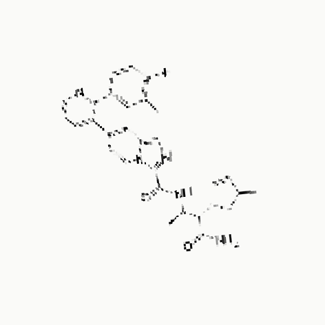 Cc1cc(-c2ncccc2-c2ccn3c(C(=O)N[C@H](C)[C@@H](C(N)=O)C4C=CC(C)C4)ncc3c2)ccc1F